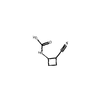 N#CC1CCC1NC(=O)O